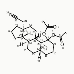 CC(=O)OC1(OC(C)=O)CCC[C@@H]2CC[C@H]3[C@@H]4CCC[C@@]4(CC#N)CC[C@@H]3[C@]21C